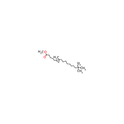 COC(=O)CCCCC1CC1(C)CCCCCCCCC(C)(C)C